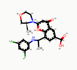 CC(Nc1cc(F)cc(F)c1)c1cc(C(=O)O)cc2c(=O)cc(N3CCOC[C@@H]3C)oc12